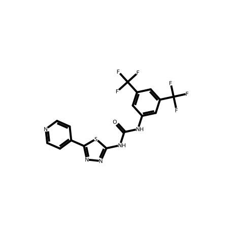 O=C(Nc1cc(C(F)(F)F)cc(C(F)(F)F)c1)Nc1nnc(-c2ccncc2)s1